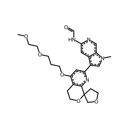 COCCOCCCOc1cc(-c2cn(C)c3cnc(NC=O)cc23)nc2c1CCOC21CCOC1